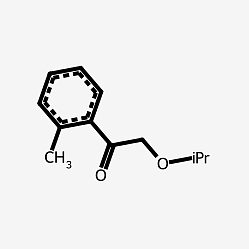 Cc1ccccc1C(=O)COC(C)C